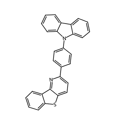 c1ccc2c(c1)sc1ccc(-c3ccc(-n4c5ccccc5c5ccccc54)cc3)nc12